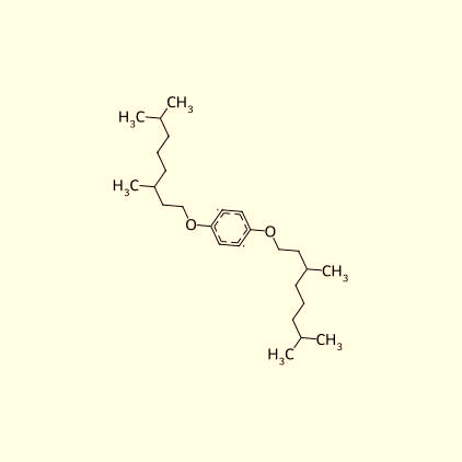 CC(C)CCCC(C)CCOc1[c]cc(OCCC(C)CCCC(C)C)[c]c1